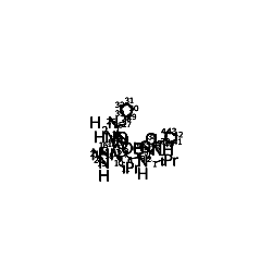 CC(C)C[C@H](NC(=O)C[C@H](O)[C@H](CC(C)C)NC(=O)[C@H](Cc1c[nH]cn1)NC(=O)[C@@H](N)Cc1ccccc1)C(=O)NC(=O)c1ccccc1